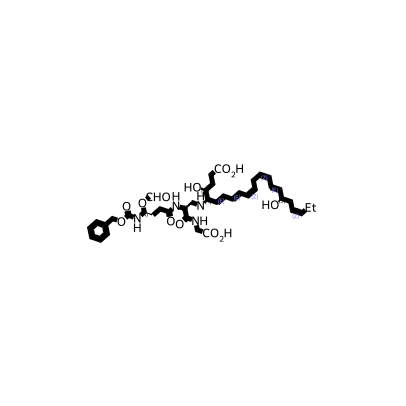 CC/C=C\C[C@H](O)/C=C/C=C\C\C=C/C=C/C=C/[C@@H](NC[C@H](NC(=O)CC[C@H](NC(=O)OCc1ccccc1)OC=O)C(=O)NCC(=O)O)[C@@H](O)CCC(=O)O